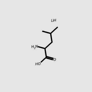 CC(C)CC(N)C(=O)O.[LiH]